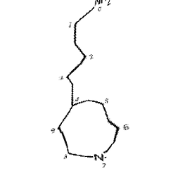 NCCCC1CC[N]CC1